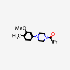 COc1cc(N2CCN(C(=O)C(C)C)CC2)ccc1C